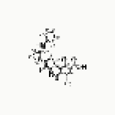 CCn1cc(C(=O)O)c(=O)c2c3ccc(N4CCC[C@H]4CNc4ccccc4)c(F)c3ncc21